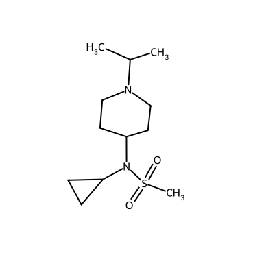 CC(C)N1CCC(N(C2CC2)S(C)(=O)=O)CC1